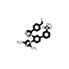 Cc1cn(-c2ccc(-c3cccc(S(C)(=O)=O)c3)cc2-n2nncc2-c2ccc(CF)cc2)c(C)n1